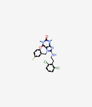 Cn1c(=O)c2c(nc(NCCc3c(Cl)cccc3Cl)n2Cc2cccc(F)c2)n(C)c1=O